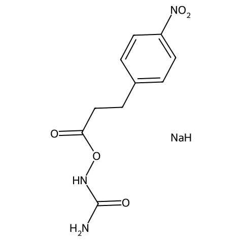 NC(=O)NOC(=O)CCc1ccc([N+](=O)[O-])cc1.[NaH]